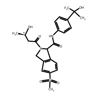 C[C@@H](O)CC(=O)N1Cc2cc(S(C)(=O)=O)ccc2C1C(=O)Nc1ccc(C(C)(O)C(F)(F)F)cc1